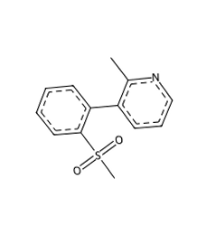 Cc1ncccc1-c1ccccc1S(C)(=O)=O